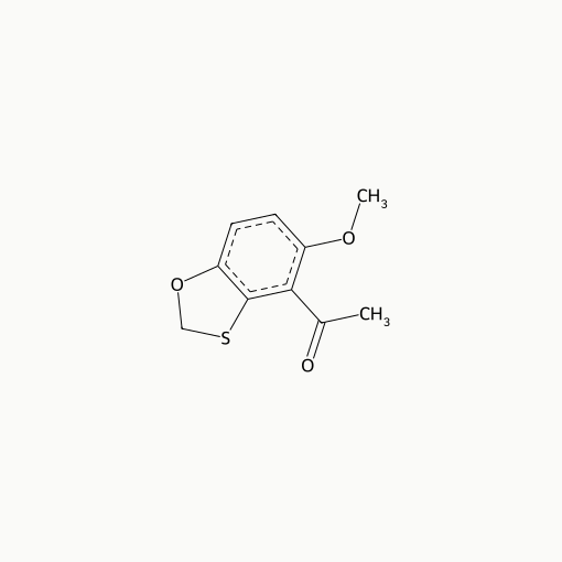 COc1ccc2c(c1C(C)=O)SCO2